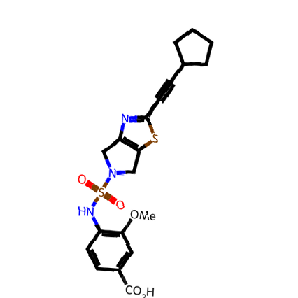 COc1cc(C(=O)O)ccc1NS(=O)(=O)N1Cc2nc(C#CC3CCCC3)sc2C1